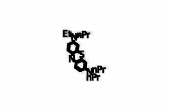 CCCN(CCC)c1ccc2nc3cc/c(=[N+](\CC)CCC)cc-3sc2c1